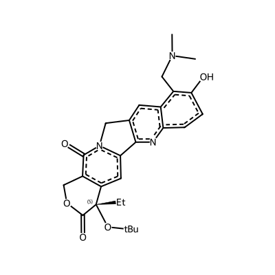 CC[C@@]1(OC(C)(C)C)C(=O)OCc2c1cc1n(c2=O)Cc2cc3c(CN(C)C)c(O)ccc3nc2-1